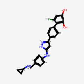 Oc1cc(O)c(-c2ccc(-c3cc(Nc4ccc(CNC5CC5)cc4)[nH]n3)cc2)c(F)c1